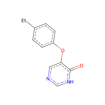 CCc1ccc(Oc2cnc[nH]c2=O)cc1